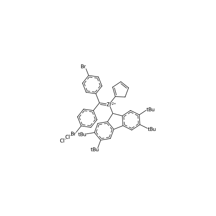 CC(C)(C)c1cc2c(cc1C(C)(C)C)[CH]([Zr+2]([C]1=CC=CC1)=[C](c1ccc(Br)cc1)c1ccc(Br)cc1)c1cc(C(C)(C)C)c(C(C)(C)C)cc1-2.[Cl-].[Cl-]